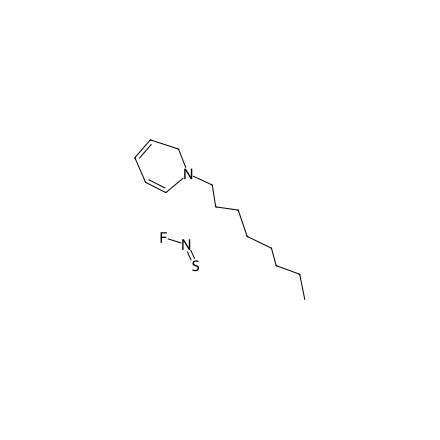 CCCCCCCCN1C=CC=CC1.FN=S